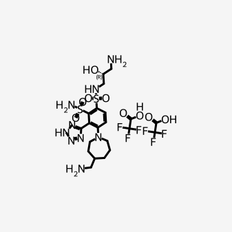 NCC1CCCN(c2ccc(S(=O)(=O)NC[C@H](O)CN)c(S(N)(=O)=O)c2-c2nn[nH]n2)CC1.O=C(O)C(F)(F)F.O=C(O)C(F)(F)F